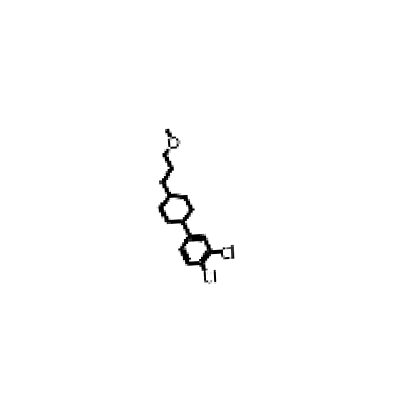 COCCCC1CCC(c2ccc(Cl)c(Cl)c2)CC1